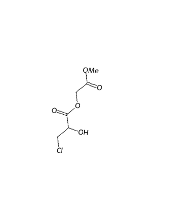 COC(=O)COC(=O)C(O)CCl